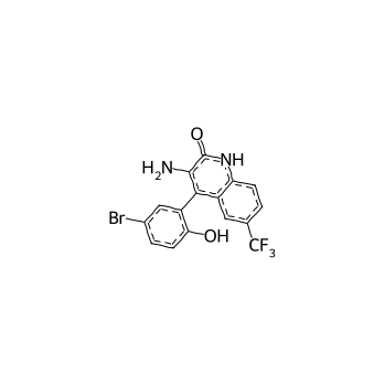 Nc1c(-c2cc(Br)ccc2O)c2cc(C(F)(F)F)ccc2[nH]c1=O